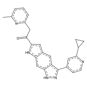 Cc1cccc(CC(=O)c2cc3cc4c(-c5ccnc(C6CC6)c5)n[nH]c4cc3[nH]2)n1